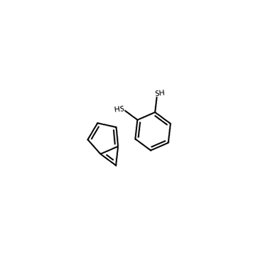 Sc1ccccc1S.c1cc2cc-2c1